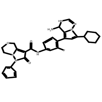 NC1NC=Nn2c(C3CCCCC3)cc(-c3ccc(NC(=O)c4c5n(n(-c6ccccc6)c4=O)CCOC5)cc3F)c21